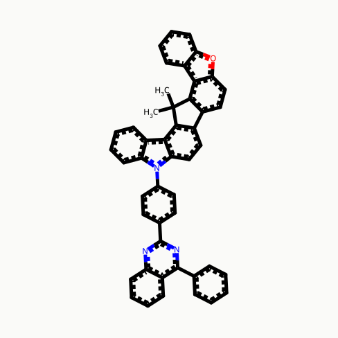 CC1(C)c2c(ccc3oc4ccccc4c23)-c2ccc3c(c21)c1ccccc1n3-c1ccc(-c2nc(-c3ccccc3)c3ccccc3n2)cc1